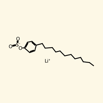 CCCCCCCCCCCCc1ccc(O[S-](=O)=O)cc1.[Li+]